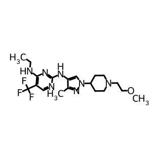 CCNc1nc(Nc2cn(C3CCN(CCOC)CC3)nc2C)ncc1C(F)(F)F